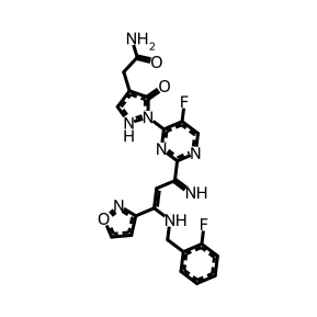 N=C(/C=C(\NCc1ccccc1F)c1ccon1)c1ncc(F)c(-n2[nH]cc(CC(N)=O)c2=O)n1